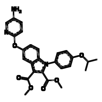 COC(=O)c1c(C(=O)OC)n(-c2ccc(OC(C)C)cc2)c2ccc(Oc3ccc(N)cn3)cc12